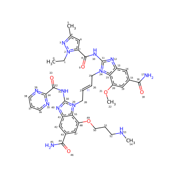 CCn1nc(C)cc1C(=O)Nc1nc2cc(C(N)=O)cc(OC)c2n1C/C=C/Cn1c(NC(=O)c2ncccn2)nc2cc(C(N)=O)cc(OCCCNC)c21